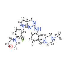 Cc1ccc(Nc2ncc3ccn(-c4ccc(N5CCOCC5)c(F)c4)c3n2)cc1CN1CCN(C2CC2)CC1